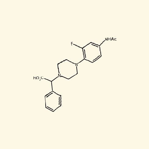 CC(=O)Nc1ccc(N2CCN(C(C(=O)O)c3ccccc3)CC2)c(F)c1